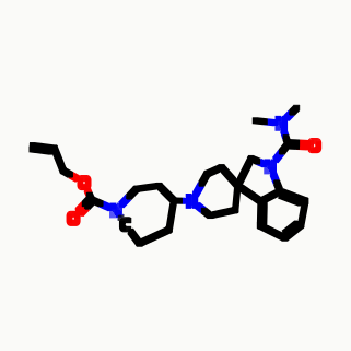 C=CCOC(=O)N1CCCC(N2CCC3(CC2)CN(C(=O)N(C)C)c2ccccc23)CC1